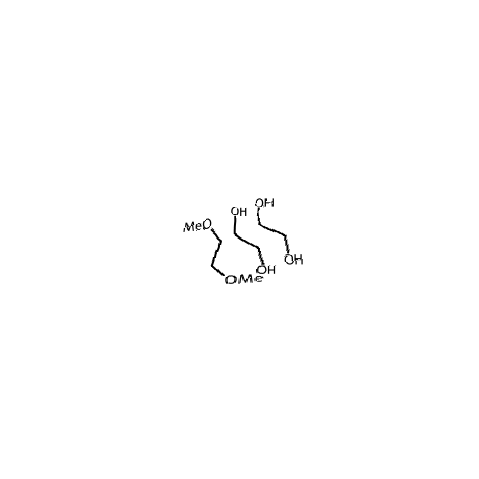 COCCOC.OCCO.OCCO